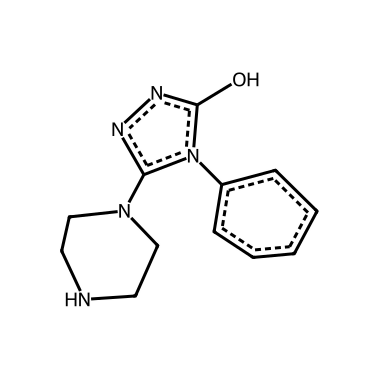 Oc1nnc(N2CCNCC2)n1-c1ccccc1